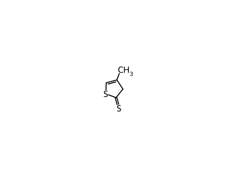 CC1=CSC(=S)C1